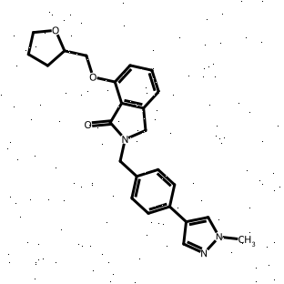 Cn1cc(-c2ccc(CN3Cc4cccc(OCC5CCCO5)c4C3=O)cc2)cn1